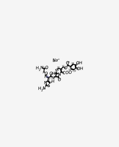 NC(=O)CO/N=C(\C(=O)N[C@@H]1C(=O)N2C(C(=O)[O-])=C(COC(=O)c3ccc(O)c(O)c3)CS[C@H]12)c1csc(N)n1.[Na+]